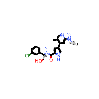 CC[C@H](C)Nc1cc(-c2c[nH]c(C(=O)N[C@H](CO)c3cccc(Cl)c3)c2)c(C)cn1